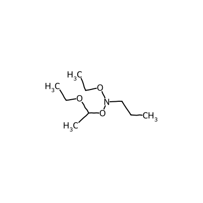 CCCN(OCC)OC(C)OCC